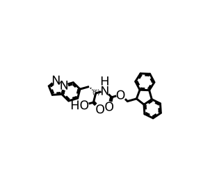 O=C(N[C@@H](Cc1ccc2ccnn2c1)C(=O)O)OCC1c2ccccc2-c2ccccc21